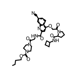 CCCCOC(=O)N1CCN(C(=O)CNC(=O)c2cc(OCC(=O)N3CCCC3C(=O)NC3CCC3)c3ccc(C#N)cc3n2)CC1